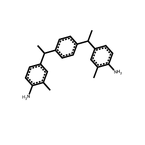 Cc1cc(C(C)c2ccc(C(C)c3ccc(N)c(C)c3)cc2)ccc1N